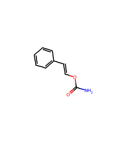 NC(=O)OC=Cc1ccccc1